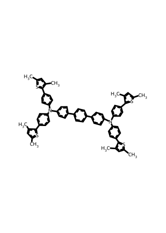 Cc1cc(C)c(-c2ccc(N(c3ccc(-c4ccc(-c5ccc(N(c6ccc(-c7sc(C)cc7C)cc6)c6ccc(-c7sc(C)cc7C)cc6)cc5)cc4)cc3)c3ccc(-c4sc(C)cc4C)cc3)cc2)s1